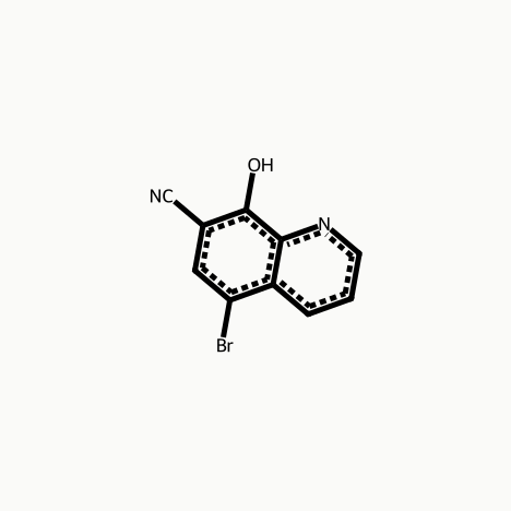 N#Cc1cc(Br)c2cccnc2c1O